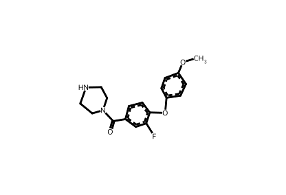 COc1ccc(Oc2ccc(C(=O)N3CCNCC3)cc2F)cc1